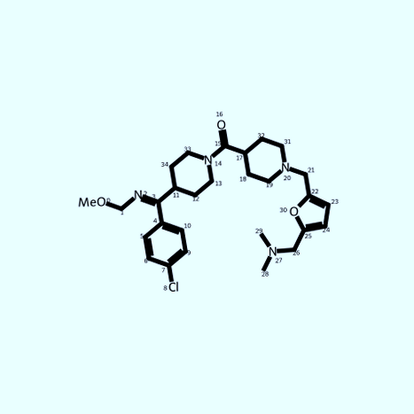 COC/N=C(\c1ccc(Cl)cc1)C1CCN(C(=O)C2CCN(Cc3ccc(CN(C)C)o3)CC2)CC1